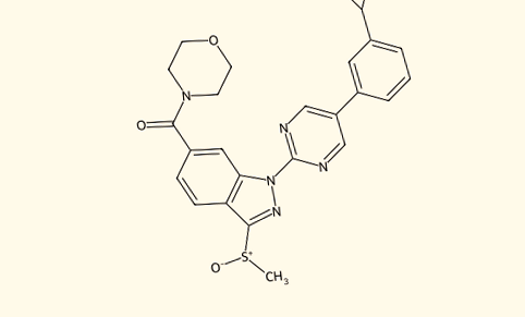 C[S+]([O-])c1nn(-c2ncc(-c3cccc(C4CC4)c3)cn2)c2cc(C(=O)N3CCOCC3)ccc12